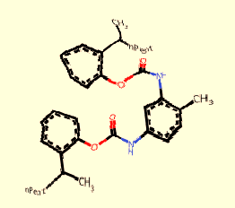 CCCCCC(C)c1ccccc1OC(=O)Nc1ccc(C)c(NC(=O)Oc2ccccc2C(C)CCCCC)c1